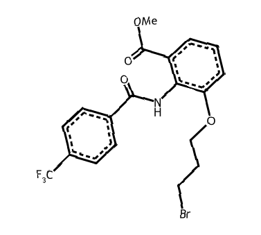 COC(=O)c1cccc(OCCCBr)c1NC(=O)c1ccc(C(F)(F)F)cc1